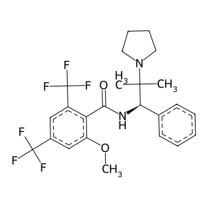 COc1cc(C(F)(F)F)cc(C(F)(F)F)c1C(=O)N[C@H](c1ccccc1)C(C)(C)N1CCCC1